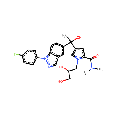 CN(C)C(=O)c1cc(C(O)(c2ccc3c(cnn3-c3ccc(F)cc3)c2)C(F)(F)F)cn1CC(O)CO